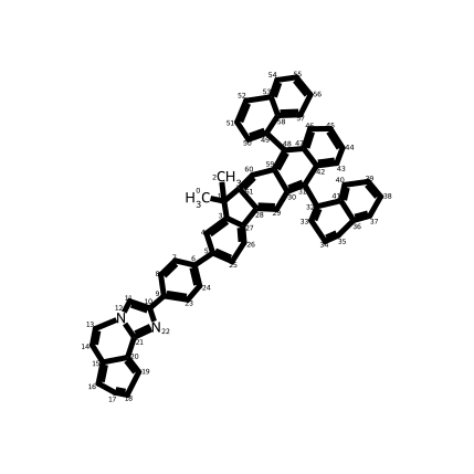 CC1(C)c2cc(-c3ccc(-c4cn5ccc6ccccc6c5n4)cc3)ccc2-c2cc3c(-c4cccc5ccccc45)c4ccccc4c(-c4cccc5ccccc45)c3cc21